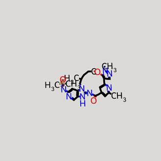 Cc1cc2cc(n1)-c1cnn(C)c1OCCCC(C)CN1/C(=N/C2=O)Nc2cnc(N=S(C)(C)=O)cc21